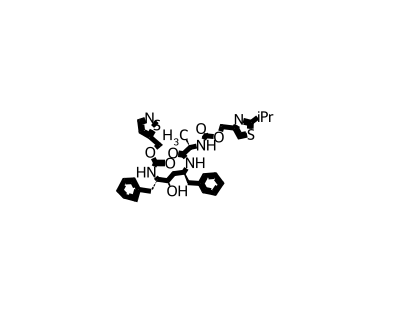 CC(C)c1nc(COC(=O)N[C@@H](C)C(=O)N[C@@H](Cc2ccccc2)C[C@H](O)[C@H](Cc2ccccc2)NC(=O)OCc2ccns2)cs1